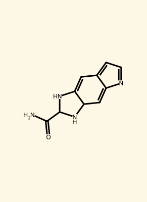 NC(=O)C1NC2=CC3=CC=NC3=CC2N1